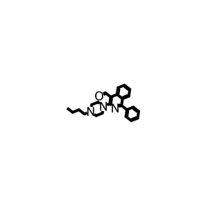 CCCCN1CCN(c2nc(-c3ccccc3)c3ccccc3c2C=O)CC1